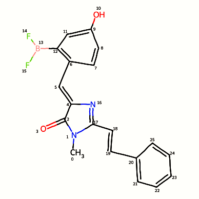 CN1C(=O)/C(=C/c2ccc(O)cc2B(F)F)N=C1/C=C/c1ccccc1